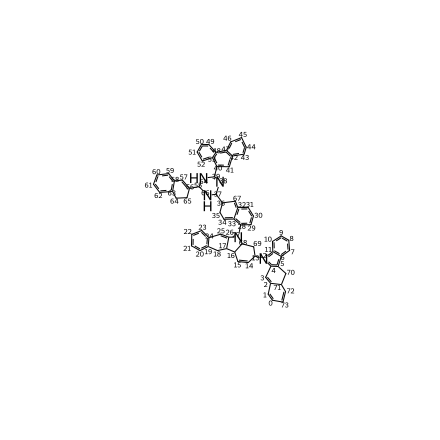 C1=CC2=Cc3c(c4ccccc4n3C3C=CC4C5Cc6ccccc6C=C5N(c5cccc6c5=CCC(C5N=C(c7cc8ccccc8c8ccccc78)NC(C7=Cc8ccccc8CC7)N5)C=6)C4C3)CC2C=C1